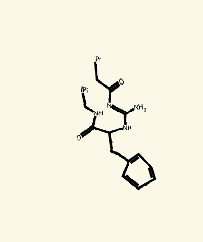 CC(C)CNC(=O)C(Cc1ccccc1)NC(N)=NC(=O)CC(C)C